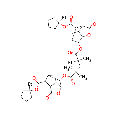 CCC1(OC(=O)C2C3CC4C(OC(=O)C42)C3OC(=O)C(C)(C)CC(C)(CC)C(=O)OC2C3CC4C2OC(=O)C4C3C(=O)OC2(CC)CCCC2)CCCC1